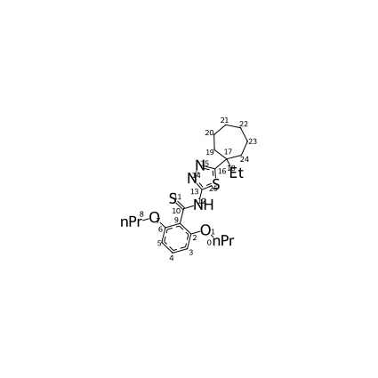 CCCOc1cccc(OCCC)c1C(=S)Nc1nnc(C2(CC)CCCCCC2)s1